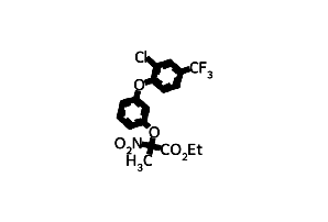 CCOC(=O)C(C)(Oc1cccc(Oc2ccc(C(F)(F)F)cc2Cl)c1)[N+](=O)[O-]